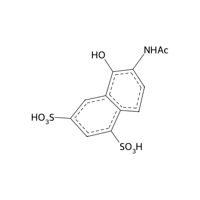 CC(=O)Nc1ccc2c(S(=O)(=O)O)cc(S(=O)(=O)O)cc2c1O